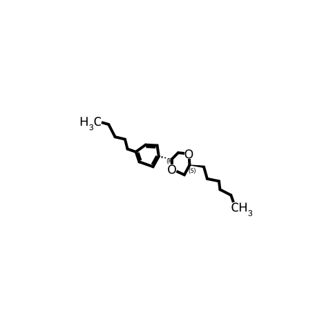 CCCCCC[C@H]1CO[C@H](c2ccc(CCCCC)cc2)CO1